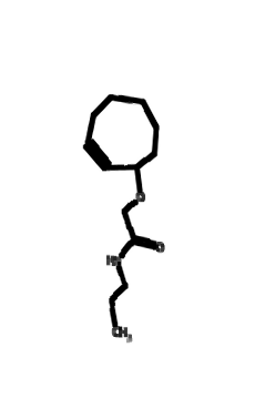 CCCNC(=O)COC1C#CCCCCC1